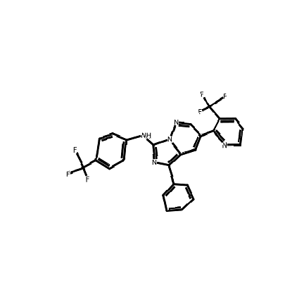 FC(F)(F)c1ccc(Nc2nc(-c3ccccc3)c3cc(-c4ncccc4C(F)(F)F)cnn23)cc1